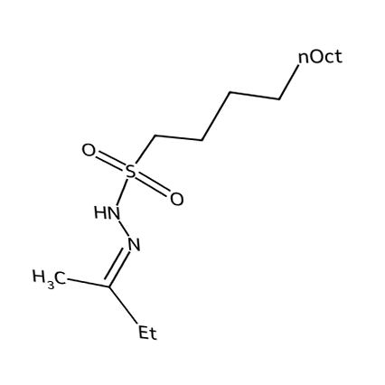 CCCCCCCCCCCCS(=O)(=O)NN=C(C)CC